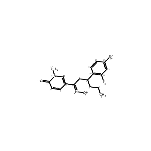 CCCC(CC(=NO)c1ccc(=O)n(C)c1)c1ccc(Br)cc1F